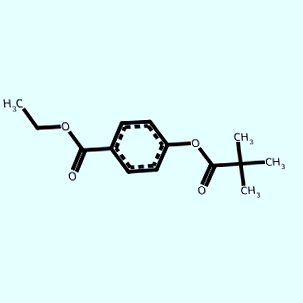 CCOC(=O)c1ccc(OC(=O)C(C)(C)C)cc1